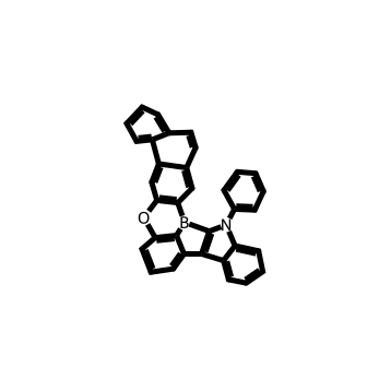 c1ccc(-n2c3c(c4ccccc42)-c2cccc4c2B3c2cc3ccc5ccccc5c3cc2O4)cc1